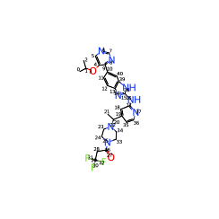 CC(C)Oc1cncnc1-c1ccc2nc(Nc3cc(C(C)N4CCN(C(=O)CC(F)(F)F)CC4)ccn3)[nH]c2c1